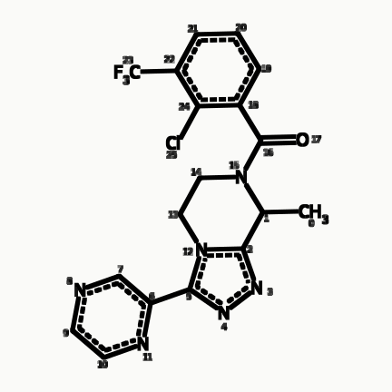 CC1c2nnc(-c3cnccn3)n2CCN1C(=O)c1cccc(C(F)(F)F)c1Cl